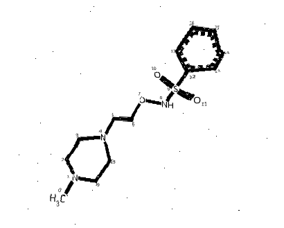 CN1CCN(CCONS(=O)(=O)c2ccccc2)CC1